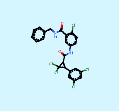 O=C(NCc1ccccc1)c1cc(NC(=O)C2C(c3cc(Cl)cc(Cl)c3)C2(Cl)Cl)ccc1Cl